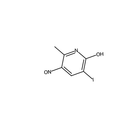 Cc1nc(O)c(I)cc1N=O